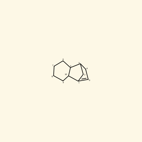 C1=C2CC(C1)C1CCCCC21